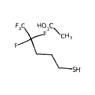 CC(=O)O.FC(F)(F)C(F)(F)CCCS